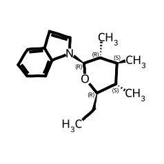 CC[C@H]1O[C@@H](n2ccc3ccccc32)[C@H](C)[C@@H](C)[C@@H]1C